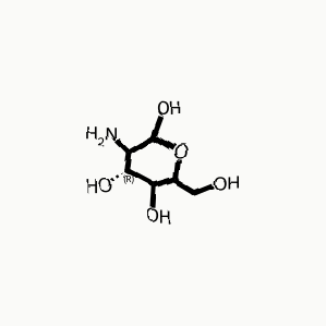 NC1C(O)OC(CO)C(O)[C@@H]1O